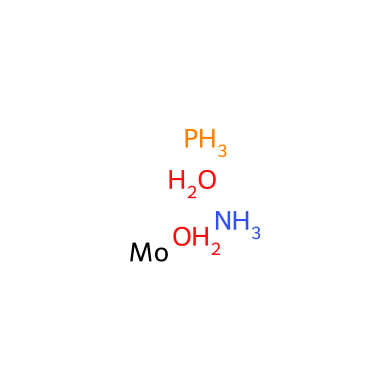 N.O.O.P.[Mo]